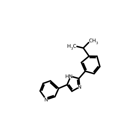 CC(C)c1cccc(-c2ncc(-c3cccnc3)[nH]2)c1